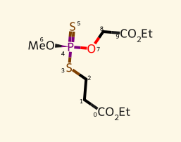 CCOC(=O)CCS[P@@](=S)(OC)OCC(=O)OCC